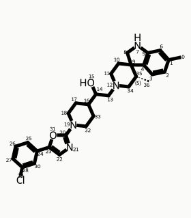 Cc1ccc2c(c1)NCC21CCN(CC(O)C2CCN(c3ncc(-c4cccc(Cl)c4)o3)CC2)C[C@H]1C